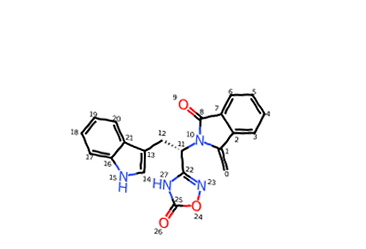 C=C1c2ccccc2C(=O)N1[C@@H](Cc1c[nH]c2ccccc12)c1noc(=O)[nH]1